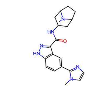 CN1C2CCC1CC(NC(=O)c1n[nH]c3ccc(-c4nccn4C)cc13)C2